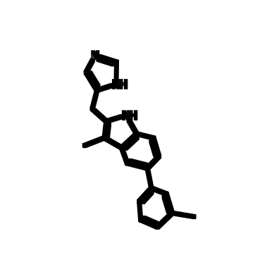 Cc1cccc(-c2ccc3[nH]c(Cc4cnc[nH]4)c(C)c3c2)c1